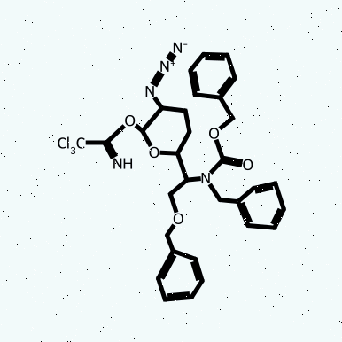 [N-]=[N+]=NC1CCC(C(COCc2ccccc2)N(Cc2ccccc2)C(=O)OCc2ccccc2)OC1OC(=N)C(Cl)(Cl)Cl